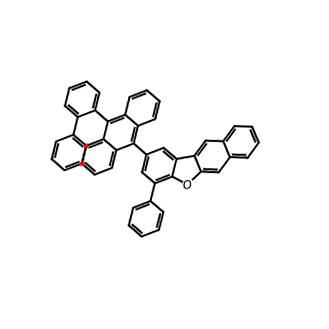 c1ccc(-c2ccccc2-c2c3ccccc3c(-c3cc(-c4ccccc4)c4oc5cc6ccccc6cc5c4c3)c3ccccc23)cc1